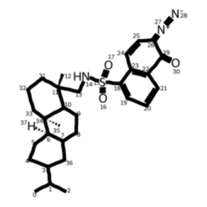 CC(C)C1CC[C@@H]2C(CCC3[C@@](C)(CNS(=O)(=O)c4cccc5c4C=CC(=[N+]=[N-])C5=O)CCC[C@@]32C)C1